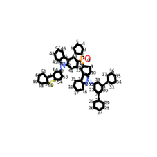 O=P(c1ccccc1)(c1ccc2c(c1)c1ccccc1n2-c1cc(-c2ccccc2)cc(-c2ccccc2)c1)c1ccc2c(c1)c1ccccc1n2-c1ccc2sc3ccccc3c2c1